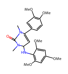 COc1cc(OC)c(NC2C=C(c3ccc(OC)c(OC)c3)N(C)C(=O)N2C)c(OC)c1